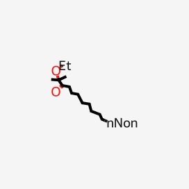 CCCCCCCCCCCCCCCCCC(=O)C(C)(C)OCC